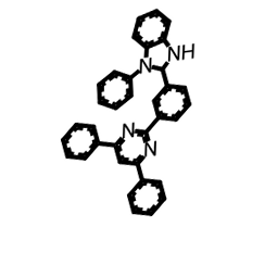 c1ccc(-c2cc(-c3ccccc3)nc(-c3cccc(C4Nc5ccccc5N4c4ccccc4)c3)n2)cc1